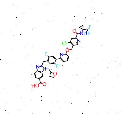 O=C(O)c1ccc2nc(Cc3cc(F)c(-c4cccc(OCc5cnc(C(=O)NC6(C(F)F)CC6)cc5Cl)n4)cc3F)n(CC3CCO3)c2c1